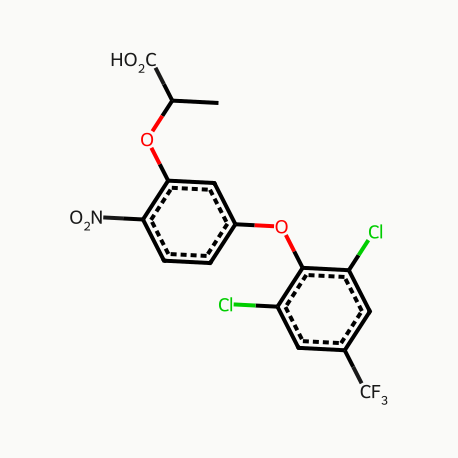 CC(Oc1cc(Oc2c(Cl)cc(C(F)(F)F)cc2Cl)ccc1[N+](=O)[O-])C(=O)O